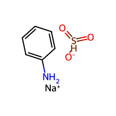 Nc1ccccc1.O=[SH](=O)[O-].[Na+]